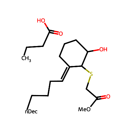 CCCC(=O)O.CCCCCCCCCCCCCC=C1CCCC(O)C1SCC(=O)OC